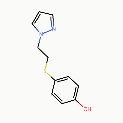 Oc1ccc(SCCn2cccn2)cc1